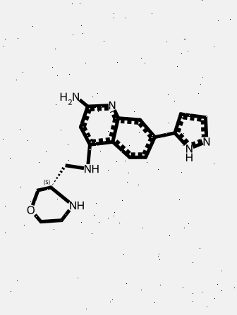 Nc1cc(NC[C@H]2COCCN2)c2ccc(-c3ccn[nH]3)cc2n1